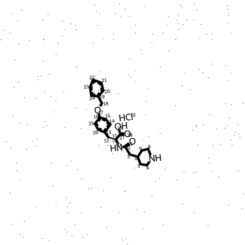 Cl.O=C(CC1CCNCC1)N[C@@H](Cc1ccc(OCc2ccccc2)cc1)C(=O)O